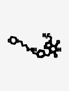 CCn1cnc2c1c(=O)[nH]c(=O)n2Cc1ccc(CNSCCCN2CCOCC2)cc1